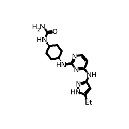 CCc1cc(Nc2ccnc(N[C@H]3CC[C@H](NC(N)=O)CC3)n2)n[nH]1